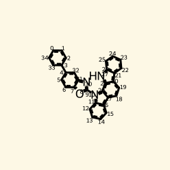 c1ccc(-c2ccc3oc(-n4c5ccccc5c5ccc6c7ccccc7[nH]c6c54)nc3c2)cc1